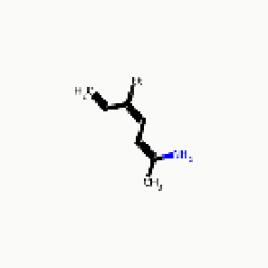 C=C/C(=C\C=C(\C)N)CC